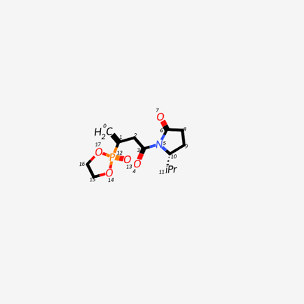 C=C(CC(=O)N1C(=O)CC[C@@H]1C(C)C)P1(=O)OCCO1